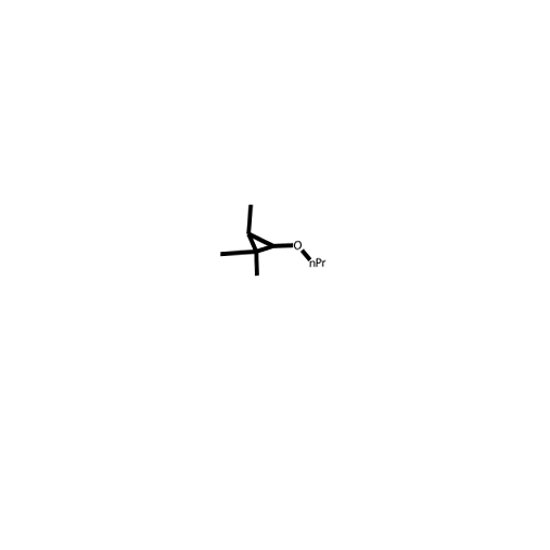 CCCOC1C(C)C1(C)C